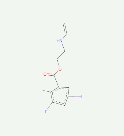 C=CNCCOC(=O)c1cc(I)cc(I)c1I